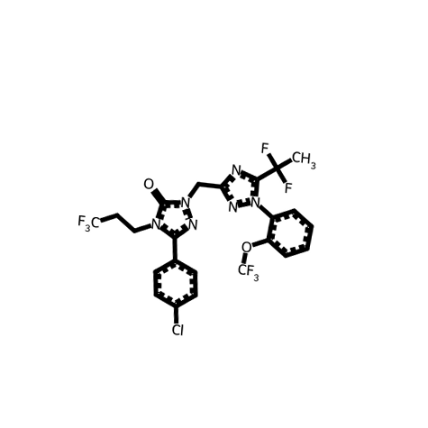 CC(F)(F)c1nc(Cn2nc(-c3ccc(Cl)cc3)n(CCC(F)(F)F)c2=O)nn1-c1ccccc1OC(F)(F)F